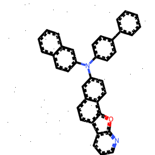 c1ccc(-c2ccc(N(c3ccc4ccccc4c3)c3ccc4c(ccc5c6cccnc6oc45)c3)cc2)cc1